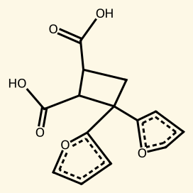 O=C(O)C1CC(c2ccco2)(c2ccco2)C1C(=O)O